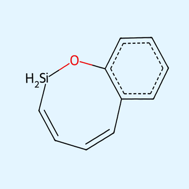 C1=C[SiH2]Oc2ccccc2C=C1